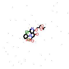 CC1(C)OCC(COc2ncc(Cl)c3c2c(=O)cc(C(=O)O)n3-c2c(Cl)cccc2Cl)O1